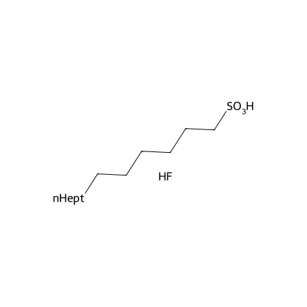 CCCCCCCCCCCCCS(=O)(=O)O.F